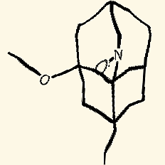 COC12CC3CC(C1)N([O])C(C)(C3)C2